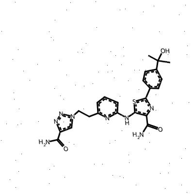 CC(C)(O)c1ccc(-c2nc(C(N)=O)c(Nc3cccc(CCn4cc(C(N)=O)nn4)n3)s2)cc1